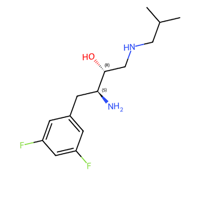 CC(C)CNC[C@@H](O)[C@@H](N)Cc1cc(F)cc(F)c1